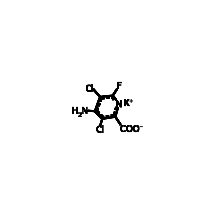 Nc1c(Cl)c(F)nc(C(=O)[O-])c1Cl.[K+]